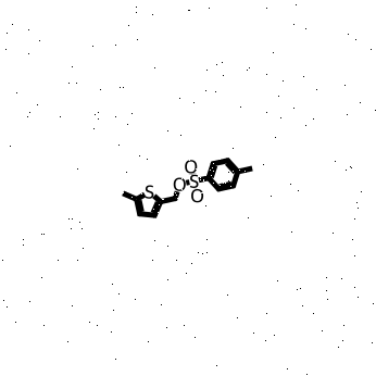 Cc1ccc(S(=O)(=O)OCc2ccc(C)s2)cc1